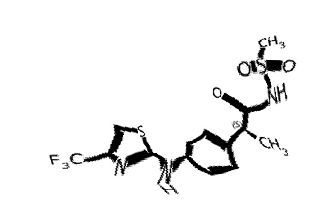 C[C@H](C(=O)NS(C)(=O)=O)c1ccc(Nc2nc(C(F)(F)F)cs2)cc1